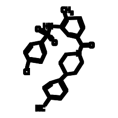 Cc1ccc(C(=O)N2CCC(c3ccc(C#N)cc3)CC2)cc1NS(=O)(=O)c1ccc(Cl)cc1